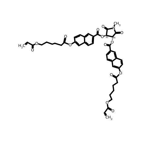 C=CC(=O)OCCCCCC(=O)Oc1ccc2cc(C(=O)O[C@H]3C(=O)N(C)C(=O)[C@@H]3OC(=O)c3ccc4cc(OC(=O)CCCCCOC(=O)C=C)ccc4c3)ccc2c1